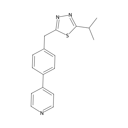 CC(C)c1nnc(Cc2ccc(-c3ccncc3)cc2)s1